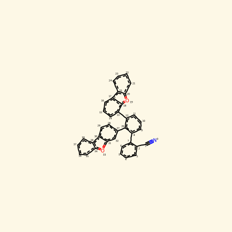 N#Cc1ccccc1-c1cccc(-c2cccc3c2oc2ccccc23)c1-c1ccc2c(c1)oc1ccccc12